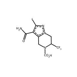 NC(=O)c1c(I)nn2c1CN(C(=O)O)C(C(F)(F)F)C2